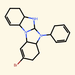 BrC1=CC2C(CC1)N(C1C=CC=CC1)C1NC3CCC=CC3N21